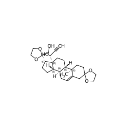 C#CC(O)[C@]12CC[C@H]3[C@@H](CC=C4CC5(CC[C@@]43C)OCCO5)[C@@H]1CC[C@@H]2C1(CO)OCCO1